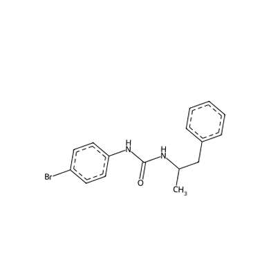 CC(Cc1ccccc1)NC(=O)Nc1ccc(Br)cc1